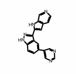 c1cc2cc(-c3n[nH]c4ccc(-c5cncnc5)cc34)[nH]c2cn1